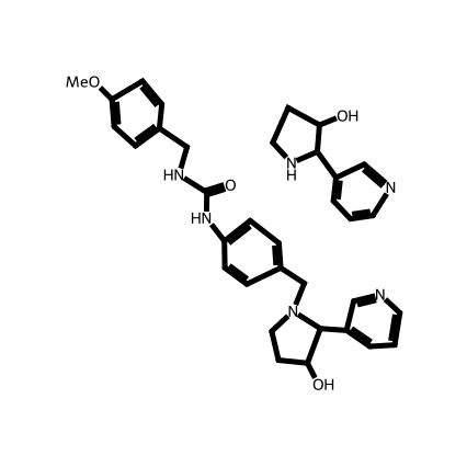 COc1ccc(CNC(=O)Nc2ccc(CN3CCC(O)C3c3cccnc3)cc2)cc1.OC1CCNC1c1cccnc1